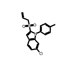 C=CCS(=O)(=O)c1cc2ccc(Cl)cc2n1-c1ccc(C)cc1